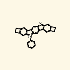 c1ccc(-n2c3cc4c(cc3c3cc5sc6cc7c(cc6c5cc32)CC7)CC4)cc1